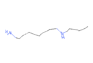 C[CH]CNCCCCN